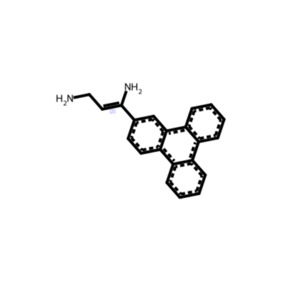 NC/C=C(\N)c1ccc2c3ccccc3c3ccccc3c2c1